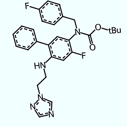 CC(C)(C)OC(=O)N(Cc1ccc(F)cc1)c1cc(-c2ccccc2)c(NCCn2cncn2)cc1F